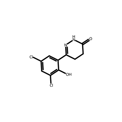 O=C1CCC(c2cc(Cl)cc(Cl)c2O)=NN1